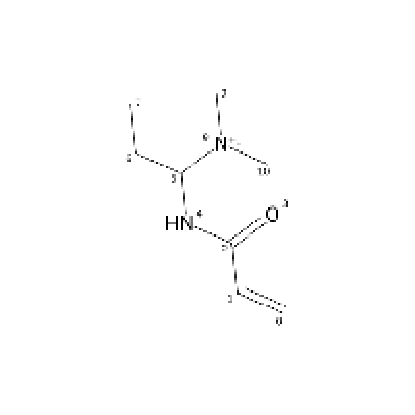 C=CC(=O)NC(CC)[N+](C)C